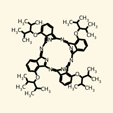 CC(C)C(Oc1cccc2c1-c1nc-2nc2[nH]c(nc3nc(nc4[nH]c(n1)c1cccc(OC(C(C)C)C(C)C)c41)-c1cccc(OC(C(C)C)C(C)C)c1-3)c1cccc(OC(C(C)C)C(C)C)c21)C(C)C